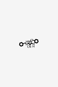 N#Cc1c(Nc2ccccc2Cl)n[nH]c1/N=C/c1ccccc1